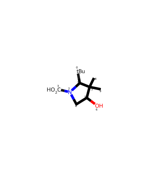 CC(C)(C)C1N(C(=O)O)CC(O)C1(C)C